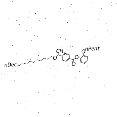 CCCCCCCCCCCCCCCCCCCCOC(C)c1ccc(C(=O)Oc2ccccc2OCCCCC)cc1